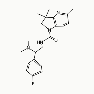 Cc1ccc2c(n1)C(C)(C)CN2C(=O)NCC(c1ccc(F)cc1)N(C)C